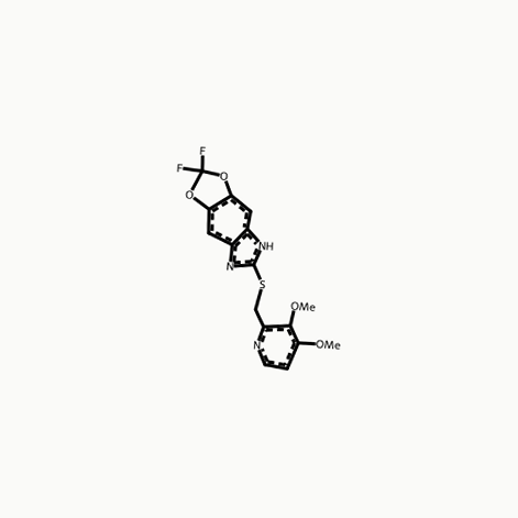 COc1ccnc(CSc2nc3cc4c(cc3[nH]2)OC(F)(F)O4)c1OC